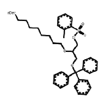 CCCCCCCCCCCCCCCCCCOC(COC(c1ccccc1)(c1ccccc1)c1ccccc1)COS(=O)(=O)c1ccccc1C